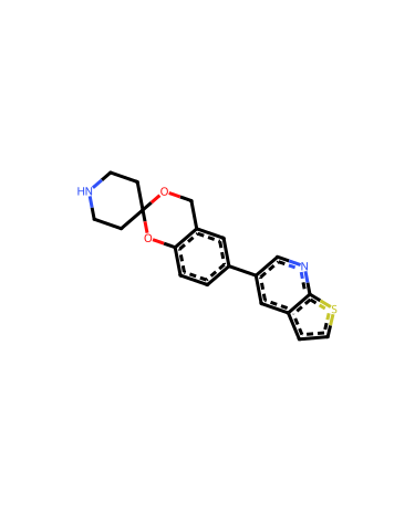 c1cc2cc(-c3ccc4c(c3)COC3(CCNCC3)O4)cnc2s1